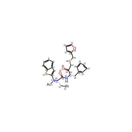 CC(=O)N(c1cc2ccccc2s1)[C@@H](CC(C)C)C(=O)N[C@@H](Cc1ccccc1)C(=O)CSCc1ccco1